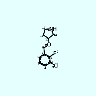 Fc1c(Cl)cccc1COC1CCNC1